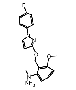 COc1cccc(N(C)N)c1COc1ccn(-c2ccc(F)cc2)n1